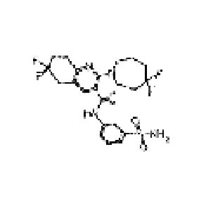 NS(=O)(=O)c1cccc(NC(=O)c2cc3c(nc2N2CCCC(F)(F)CC2)CCC(F)(F)C3)c1